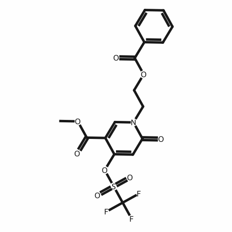 COC(=O)c1cn(CCOC(=O)c2ccccc2)c(=O)cc1OS(=O)(=O)C(F)(F)F